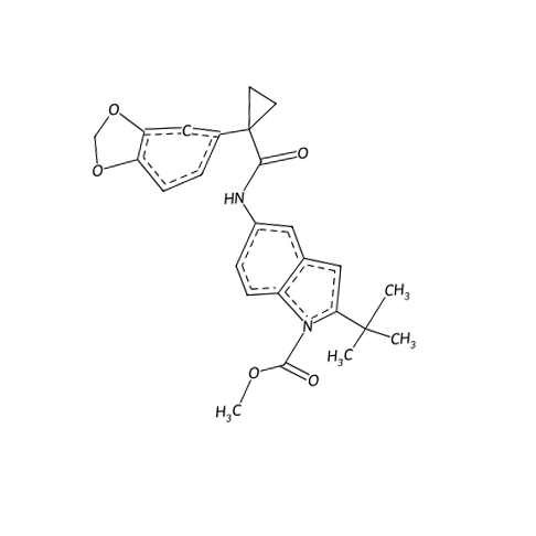 COC(=O)n1c(C(C)(C)C)cc2cc(NC(=O)C3(c4ccc5c(c4)OCO5)CC3)ccc21